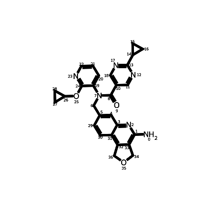 Nc1nc2cc(CN(C(=O)c3cnc(C4CC4)nc3)c3cccnc3OC3CC3)ccc2c2c1COC2